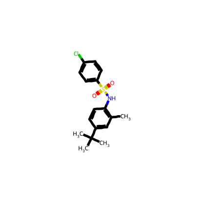 Cc1cc(C(C)(C)C)ccc1NS(=O)(=O)c1ccc(Cl)cc1